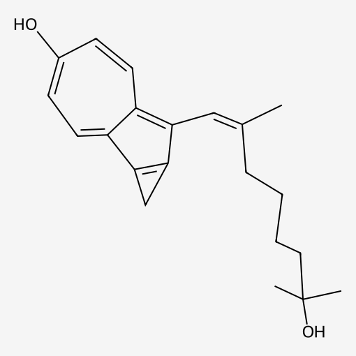 CC(=Cc1c2ccc(O)ccc-2c2c1C2)CCCCC(C)(C)O